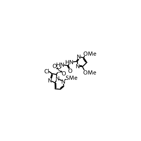 COc1cc(OC)nc(NC(=O)NS(=O)(=O)C2C(Cl)=NC3=CC=CN(SC)N32)n1